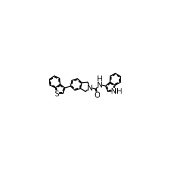 O=C(Nc1c[nH]c2ccccc12)N1Cc2ccc(-c3csc4ccccc34)cc2C1